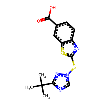 CC(C)(C)c1ncn(Sc2nc3ccc(C(=O)O)cc3s2)n1